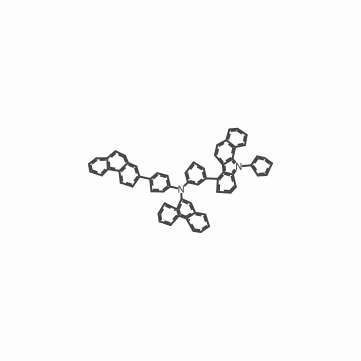 c1ccc(-n2c3cccc(-c4cccc(N(c5ccc(-c6ccc7c(ccc8ccccc87)c6)cc5)c5cc6ccccc6c6ccccc56)c4)c3c3ccc4ccccc4c32)cc1